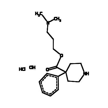 CN(C)CCCOC(=O)C1(c2ccccc2)CCNCC1.Cl.Cl